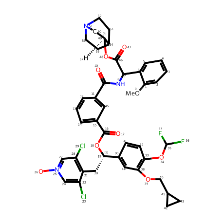 COc1ccccc1C(NC(=O)c1cccc(C(=O)O[C@@H](Cc2c(Cl)c[n+]([O-])cc2Cl)c2ccc(OC(F)F)c(OCC3CC3)c2)c1)C(=O)O[C@H]1CN2CCC1CC2